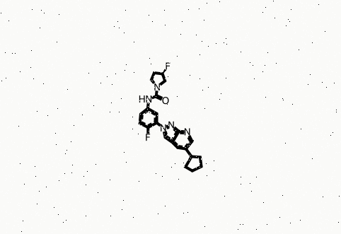 O=C(Nc1ccc(F)c(-n2cc3cc(C4CCCC4)cnc3n2)c1)N1CC[C@@H](F)C1